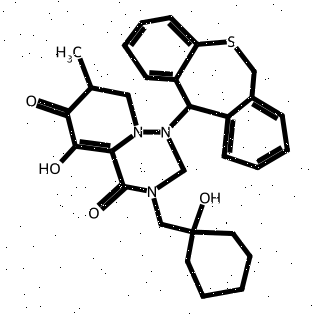 CC1CN2C(=C(O)C1=O)C(=O)N(CC1(O)CCCCC1)CN2C1c2ccccc2CSc2ccccc21